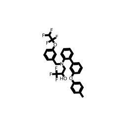 Cc1ccc(Oc2cccc(-c3ccccc3N(Cc3cccc(OC(F)(F)C(F)F)c3)CC(O)C(F)(F)F)c2)cc1